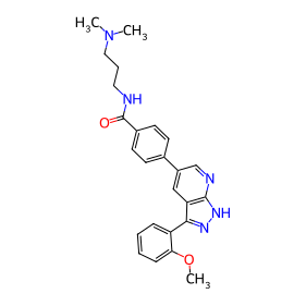 COc1ccccc1-c1n[nH]c2ncc(-c3ccc(C(=O)NCCCN(C)C)cc3)cc12